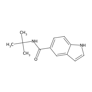 CC(C)(C)NC(=O)c1ccc2[nH]ccc2c1